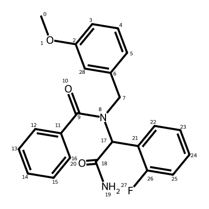 COc1cccc(CN(C(=O)c2ccccc2)C(C(N)=O)c2ccccc2F)c1